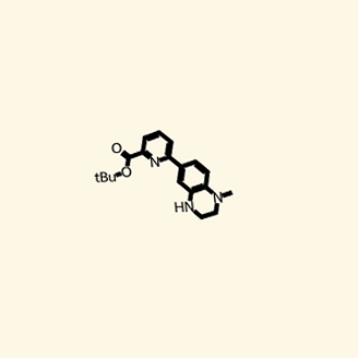 CN1CCNc2cc(-c3cccc(C(=O)OC(C)(C)C)n3)ccc21